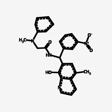 Cc1cc(C(NC(=O)CN(C)c2ccccc2)c2cccc([N+](=O)[O-])c2)c(O)c2ncccc12